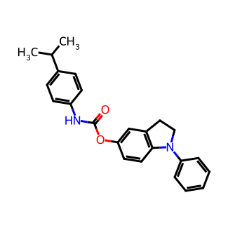 CC(C)c1ccc(NC(=O)Oc2ccc3c(c2)CCN3c2ccccc2)cc1